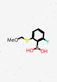 COCSc1cccc(F)c1B(O)O